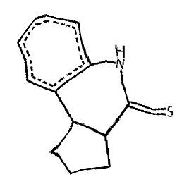 S=C1Nc2ccccc2C2CCCC12